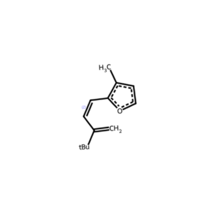 C=C(/C=C\c1occc1C)C(C)(C)C